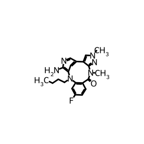 CCCCN1c2cc(F)ccc2C(=O)N(C)c2nn(C)cc2-c2cnc(N)c1c2